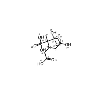 CC(N(CC(=O)O)CC(=O)O)(P(=O)(O)O)P(=O)(O)O